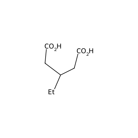 [CH2]CC(CC(=O)O)CC(=O)O